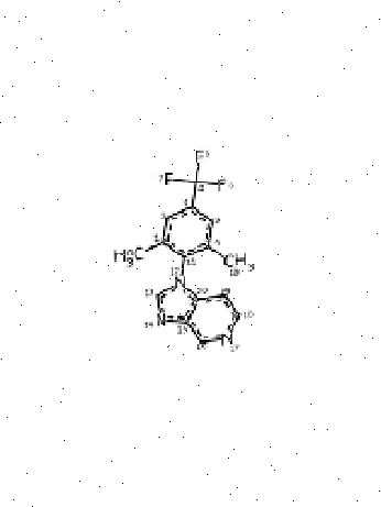 Cc1cc(C(F)(F)F)cc(C)c1-n1cnc2cnccc21